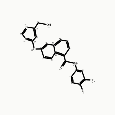 O=C(Nc1ccc(Cl)c(C(F)(F)F)c1)c1cccc2cc(Oc3cc(CO)ncn3)ccc12